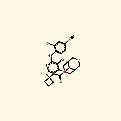 [C-]#[N+]c1ccc(Nc2ncnc(OC3C4COCC3CN(C(=O)OC3(C)CCC3)C4)c2C)c(Cl)c1